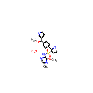 COc1nc(C)cnc1NS(=O)(=O)c1cccnc1-c1ccc(C(OC)c2cccnc2)cc1.O